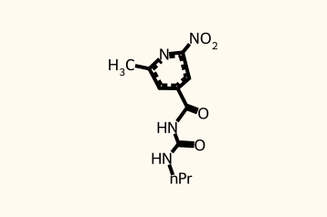 CCCNC(=O)NC(=O)c1cc(C)nc([N+](=O)[O-])c1